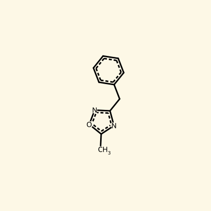 Cc1nc(Cc2ccccc2)no1